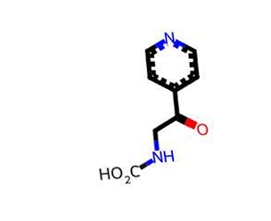 O=C(O)NCC(=O)c1ccncc1